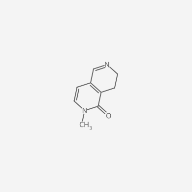 Cn1ccc2c(c1=O)CCN=C2